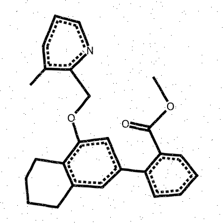 COC(=O)c1ccccc1-c1cc2c(c(OCc3ncccc3C)c1)CCCC2